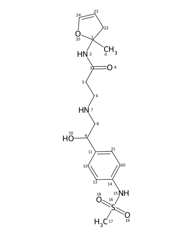 CC1(NC(=O)CCNCC(O)c2ccc(NS(C)(=O)=O)cc2)CC=CO1